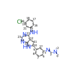 CN(C)C=Nc1cccc(-c2cc3c(Nc4cccc(Cl)c4)ncnc3[nH]2)c1